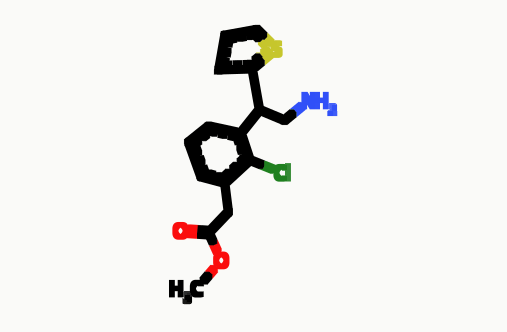 COC(=O)Cc1cccc(C(CN)c2cccs2)c1Cl